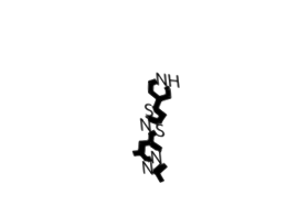 Cc1cn2cc(-c3nc4sc(C5CCNCC5)cc4s3)cc(C)c2n1